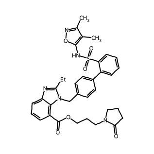 CCc1nc2cccc(C(=O)OCCCN3CCCC3=O)c2n1Cc1ccc(-c2ccccc2S(=O)(=O)Nc2onc(C)c2C)cc1